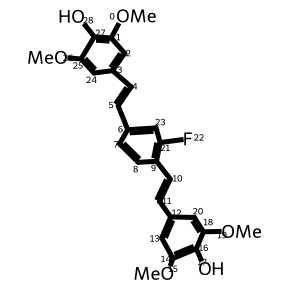 COc1cc(/C=C/c2ccc(/C=C/c3cc(OC)c(O)c(OC)c3)c(F)c2)cc(OC)c1O